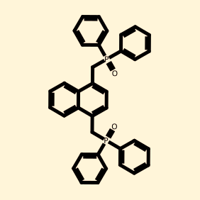 O=P(Cc1ccc(CP(=O)(c2ccccc2)c2ccccc2)c2ccccc12)(c1ccccc1)c1ccccc1